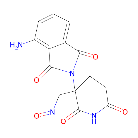 Nc1cccc2c1C(=O)N(C1(CN=O)CCC(=O)NC1=O)C2=O